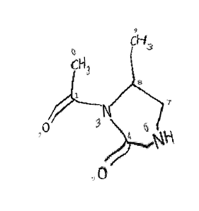 CC(=O)N1C(=O)NCC1C